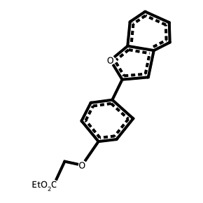 CCOC(=O)COc1ccc(-c2cc3ccccc3o2)cc1